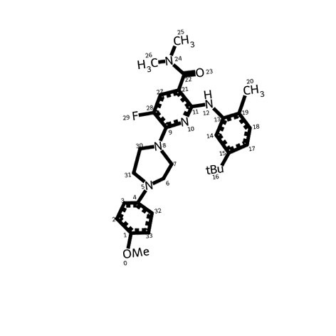 COc1ccc(N2CCN(c3nc(Nc4cc(C(C)(C)C)ccc4C)c(C(=O)N(C)C)cc3F)CC2)cc1